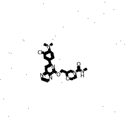 CNC(=O)N1CCOC(COc2nc(-c3ccc(N(C)C)c(Cl)c3)cc3nccnc23)C1